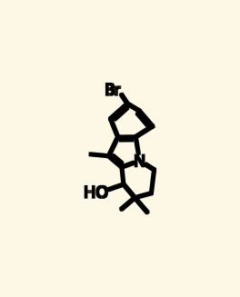 Cc1c2n(c3ccc(Br)cc13)CCC(C)(C)C2O